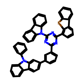 c1ccc(-n2c3ccccc3c3ccc(-c4cccc(-c5nc(-c6cccc7c6sc6ccccc67)nc(-n6c7ccccc7c7ccccc76)n5)c4)cc32)cc1